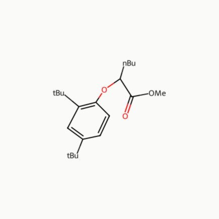 CCCCC(Oc1ccc(C(C)(C)C)cc1C(C)(C)C)C(=O)OC